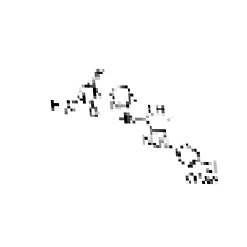 COc1cc(-n2cnc(C(C)Nc3nccc(N4C(=O)N(C)C[C@@H]4C(C)C)n3)c2)ccc1Cl